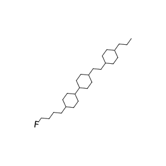 CCCC1CCC(CCC2CCC(C3CCC(CCCCF)CC3)CC2)CC1